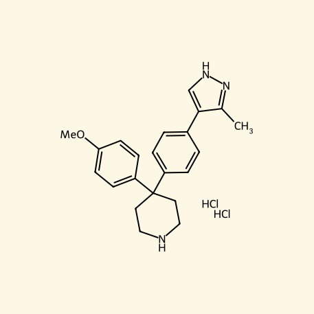 COc1ccc(C2(c3ccc(-c4c[nH]nc4C)cc3)CCNCC2)cc1.Cl.Cl